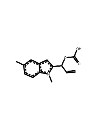 C=CC(OC(=O)O)c1cc2cc(C)ccc2n1C